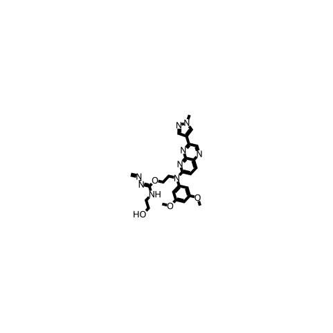 C=N/N=C(/NCCO)OCCN(c1cc(OC)cc(OC)c1)c1ccc2ncc(-c3cnn(C)c3)nc2n1